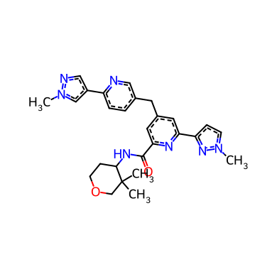 Cn1cc(-c2ccc(Cc3cc(C(=O)NC4CCOCC4(C)C)nc(-c4ccn(C)n4)c3)cn2)cn1